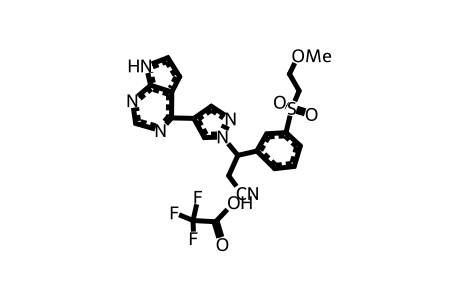 COCCS(=O)(=O)c1cccc(C(CC#N)n2cc(-c3ncnc4[nH]ccc34)cn2)c1.O=C(O)C(F)(F)F